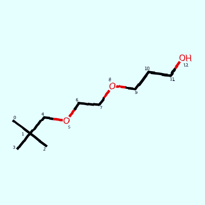 CC(C)(C)COCCOCCCO